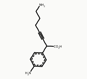 NCCCC#CC(C(=O)O)c1ccc(N)cc1